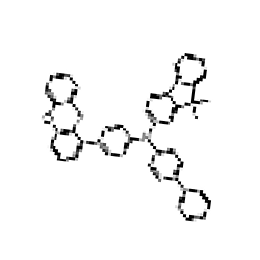 CC1(C)c2ccccc2-c2ccc(N(c3ccc(-c4ccccc4)cc3)c3ccc(-c4cccc5c4Sc4ccccc4O5)cc3)cc21